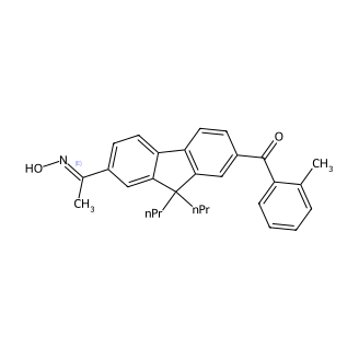 CCCC1(CCC)c2cc(C(=O)c3ccccc3C)ccc2-c2ccc(/C(C)=N/O)cc21